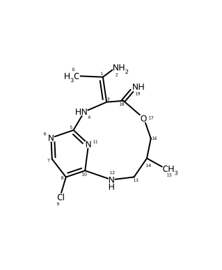 C/C(N)=C1\Nc2ncc(Cl)c(n2)NCC(C)COC1=N